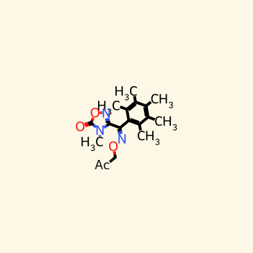 CC(=O)CON=C(c1c(C)c(C)c(C)c(C)c1C)c1noc(=O)n1C